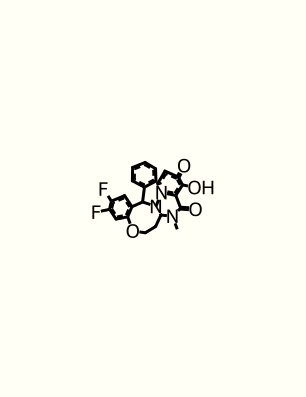 CN1C(=O)c2c(O)c(=O)ccn2N2C(c3ccccc3)c3cc(F)c(F)cc3OCCC12